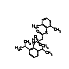 Cc1cccc(C)c1SC(=O)CS(=O)(=O)Nc1c(C(C)C)cccc1C(C)C